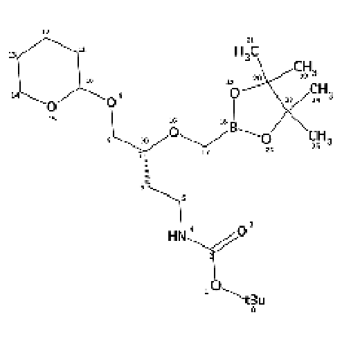 CC(C)(C)OC(=O)NCC[C@H](COC1CCCCO1)OCB1OC(C)(C)C(C)(C)O1